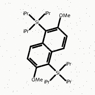 COc1ccc2c([Si](C(C)C)(C(C)C)C(C)C)c(OC)ccc2c1[Si](C(C)C)(C(C)C)C(C)C